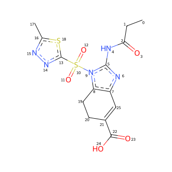 CCC(=O)Nc1nc2c(n1S(=O)(=O)c1nnc(C)s1)CCC(C(=O)O)=C2